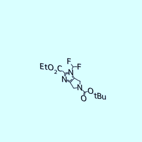 CCOC(=O)c1nc2c(n1C(F)F)CN(C(=O)OC(C)(C)C)C2